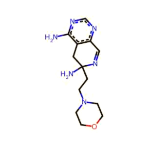 Nc1ncnc2c1CC(N)(CCN1CCOCC1)N=C2